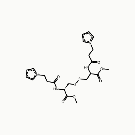 COC(=O)C(CSSC[C@H](NC(=O)CCn1cccc1)C(=O)OC)NC(=O)CCn1cccc1